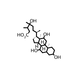 CC(CC(=O)O)C(C)(O)CC[C@@H](C)[C@H]1CC[C@H]2[C@@H]3C(O)CC4CC(O)CC[C@]4(C)[C@H]3CC(O)[C@]12C